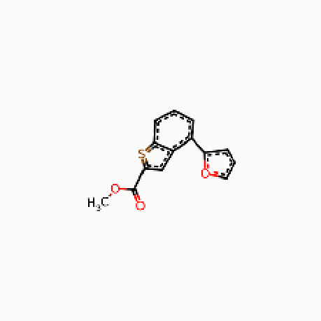 COC(=O)c1cc2c(-c3ccco3)cccc2s1